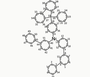 c1ccc(-c2cccc(-c3cccc(N(c4ccc(C5(c6ccccc6)c6ccccc6-c6ccccc65)cc4)c4cccc(-c5ccccc5)c4)c3)c2)cc1